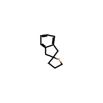 [CH]1CCSC12Cc1ccccc1C2